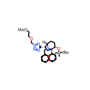 COCCOCn1nnc([C@H]2C[C@@]3(c4ccccc4)[C@H](O[Si](C)(C)C(C)(C)C)CC[C@@H]2N3Cc2ccccc2)n1